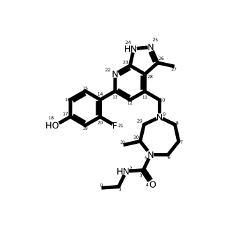 CCNC(=O)N1CCCN(Cc2cc(-c3ccc(O)cc3F)nc3[nH]nc(C)c23)CC1C